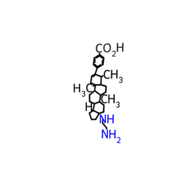 CC1C(c2ccc(C(=O)O)cc2)=CCC2(C)C1CCC1(C)C3CCC4(NCCN)CCC[C@@H]4C3CCC21